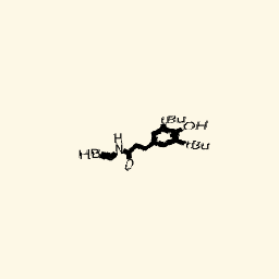 B=CNC(=O)CCc1cc(C(C)(C)C)c(O)c(C(C)(C)C)c1